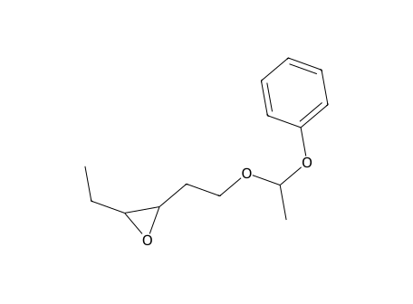 CCC1OC1CCOC(C)Oc1ccccc1